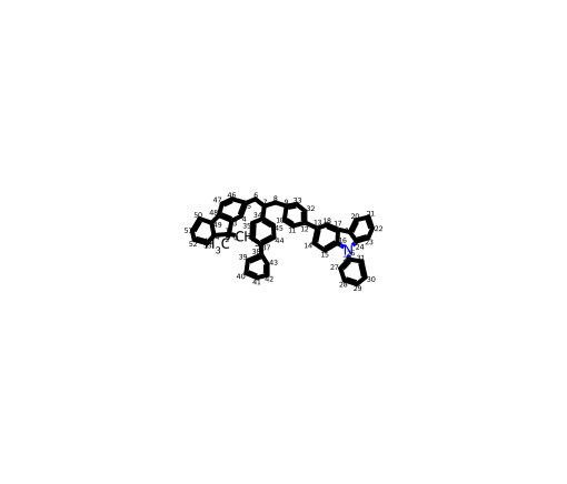 CC1(C)c2cc(CC(Cc3ccc(-c4ccc5c(c4)c4ccccc4n5-c4ccccc4)cc3)c3ccc(-c4ccccc4)cc3)ccc2C2C=CC=CC21